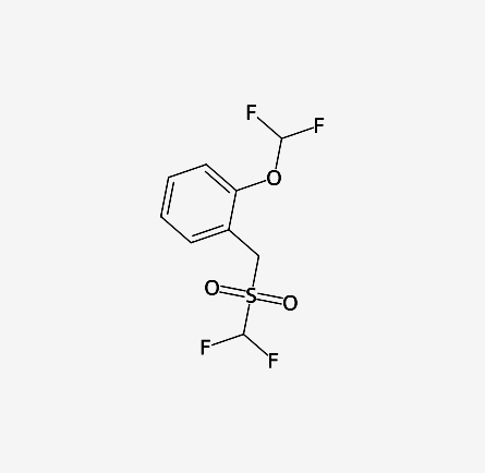 O=S(=O)(Cc1ccccc1OC(F)F)C(F)F